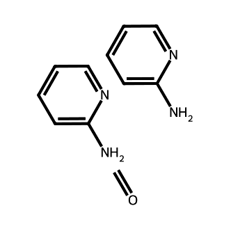 C=O.Nc1ccccn1.Nc1ccccn1